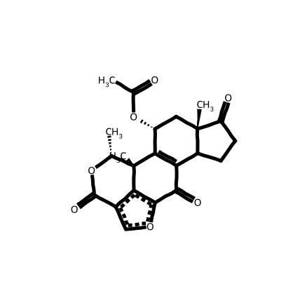 CC(=O)O[C@@H]1C[C@]2(C)C(=O)CCC2C2=C1[C@]1(C)c3c(coc3C2=O)C(=O)O[C@@H]1C